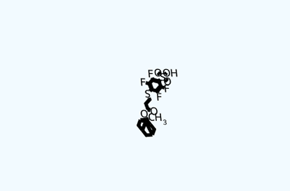 CC1(OC(=O)CCSc2c(F)c(F)c(S(=O)(=O)O)c(F)c2F)C2CC3CC(C2)CC1C3